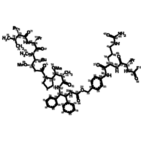 CC[C@@H](C)C([C@H](CC(=O)N1CCC[C@@H]1[C@@H](OC)[C@H](C)C(=O)N[C@H](c1ccccc1)C(NC(=O)OCc1ccc(NC(=O)[C@H](CCCNC(N)=O)NC(=O)[C@@H](NC(=O)F)C(C)C)cc1)c1ccccc1)OC)N(C)C(=O)[C@H](NC(=O)[C@@H](C(C)C)N(C)C)C(C)C